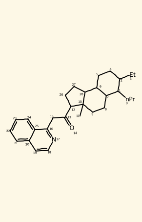 CCCC1C(CC)CCC2C1CCC1(C)C(C(=O)Cc3nccc4ccccc34)CCC21